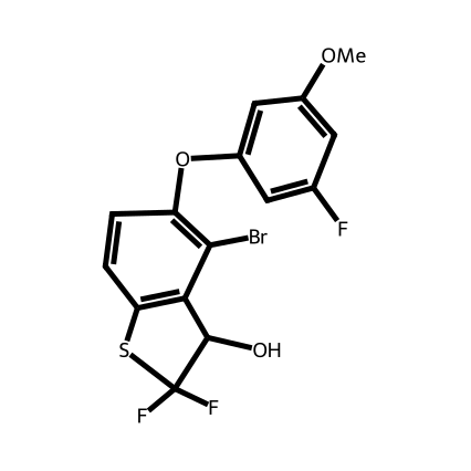 COc1cc(F)cc(Oc2ccc3c(c2Br)C(O)C(F)(F)S3)c1